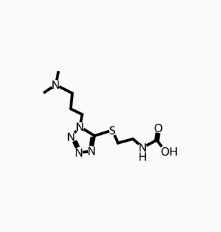 CN(C)CCCn1nnnc1SCCNC(=O)O